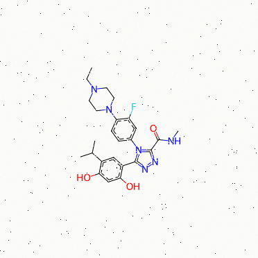 CCN1CCN(c2ccc(-n3c(C(=O)NC)nnc3-c3cc(C(C)C)c(O)cc3O)cc2F)CC1